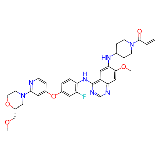 C=CC(=O)N1CCC(Nc2cc3c(Nc4ccc(Oc5ccnc(N6CCO[C@@H](COC)C6)c5)cc4F)ncnc3cc2OC)CC1